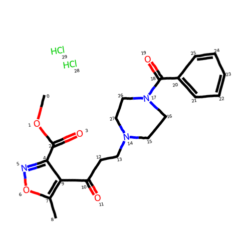 COC(=O)c1noc(C)c1C(=O)CCN1CCN(C(=O)c2ccccc2)CC1.Cl.Cl